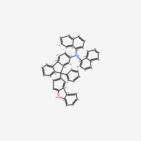 c1ccc(C2(c3ccc4oc5ccccc5c4c3)c3ccccc3-c3ccc(N(c4cccc5ccccc45)c4cccc5ccccc45)cc32)cc1